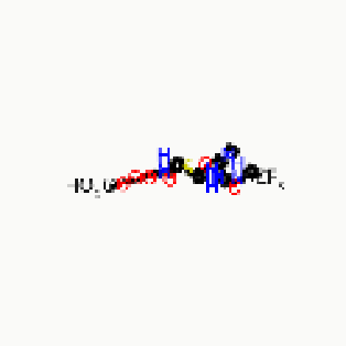 O=C(O)CCOCCOCCOCCNC(=O)c1cccc(SCc2cccc(C(=O)Nc3ccc(N4CCCCC4)cc3-c3cc(C(=O)NCc4cccc(C(F)(F)F)c4)ccn3)c2)c1